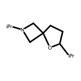 CC(C)C1CCC2(CN(C(C)C)C2)O1